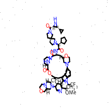 CO[C@@H](C)C1=C(c2c3c4cc(ccc4n2CC(F)(F)F)N2CCO[C@@H](C[C@H](NC(=O)[C@H](C4CCCC4)N4CC[C@]5(CCN(C(=O)[C@@H]6N[C@@H]6C6CC6)C5)C4)C(=O)N4CCC[C@H](N4)C(=O)OCC(C)(C)C3)C2)CC(N2CCN3CCOC[C@@H]3C2)C=N1